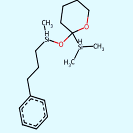 C[SiH](CCCc1ccccc1)OC1([SiH](C)C)CCCCO1